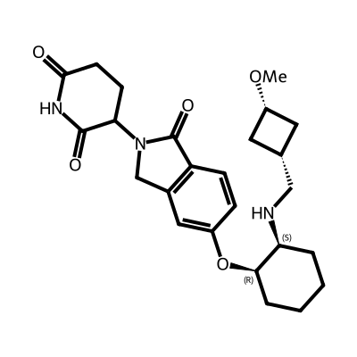 CO[C@H]1C[C@@H](CN[C@H]2CCCC[C@H]2Oc2ccc3c(c2)CN(C2CCC(=O)NC2=O)C3=O)C1